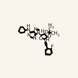 CC1(C)O[C@H]2[C@H](O1)[C@@H](C#Cc1ccccc1F)O[C@H]2n1cnc2c(NC3CCCCC3)ncnc21